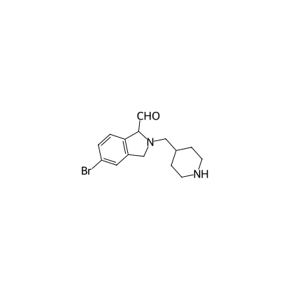 O=CC1c2ccc(Br)cc2CN1CC1CCNCC1